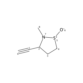 C#CC1CC[S+]([O-])N1C